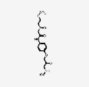 CC(C)(C)NCC(O)COc1ccc(NC(=O)C[S+]([O-])CCO[N+](=O)[O-])cc1